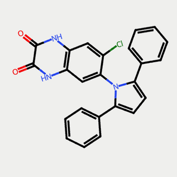 O=c1[nH]c2cc(Cl)c(-n3c(-c4ccccc4)ccc3-c3ccccc3)cc2[nH]c1=O